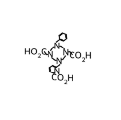 O=C(O)CN1CCN(Cc2ccccc2)CCN(CC(=O)O)CCN(Cc2cccc(C(=O)O)n2)CC1